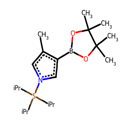 Cc1cn(S(C(C)C)(C(C)C)C(C)C)cc1B1OC(C)(C)C(C)(C)O1